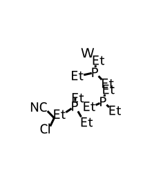 CCP(CC)CC.CCP(CC)CC.CCP(CC)CC.N#CCCl.[W]